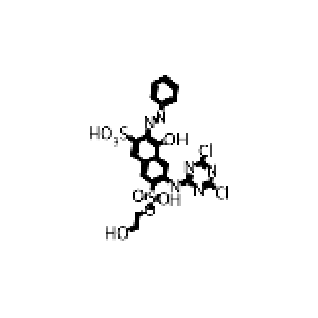 O=S(=O)(O)c1cc2cc(S(=O)(=O)OCCO)c(Nc3nc(Cl)nc(Cl)n3)cc2c(O)c1/N=N/c1ccccc1